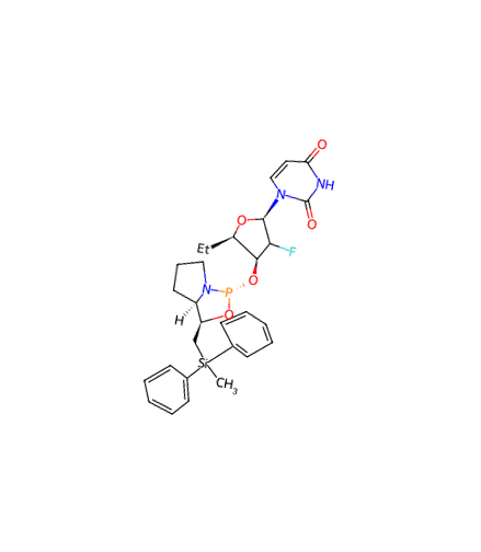 CC[C@H]1O[C@@H](n2ccc(=O)[nH]c2=O)C(F)[C@H]1O[P@]1O[C@@H](C[Si](C)(c2ccccc2)c2ccccc2)[C@H]2CCCN21